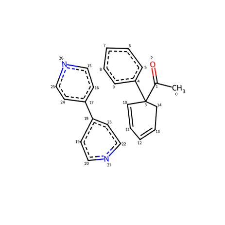 CC(=O)C1(c2ccccc2)C=CC=CC1.c1cc(-c2ccncc2)ccn1